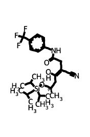 CC(C)[Si](O[C@H](C)CC(O)=C(C#N)CC(=O)Nc1ccc(C(F)(F)F)cc1)(C(C)C)C(C)C